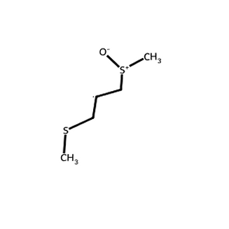 CSC[CH]C[S+](C)[O-]